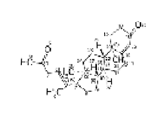 CC(=CCC(=O)O)[C@H]1CC[C@H]2[C@@H]3CCC4=CC(=O)CC[C@]4(C)[C@H]3CC[C@]12C